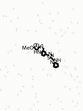 COC(=O)CC1Nc2ccc(-c3nnc(-c4nc5ccccc5[nH]4)s3)cc2CN(C)C1=O